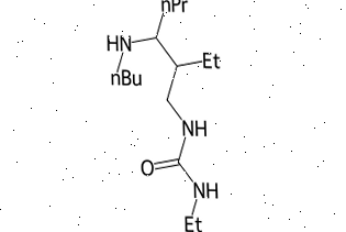 CCCCNC(CCC)C(CC)CNC(=O)NCC